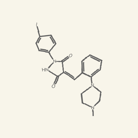 CN1CCN(c2ccccc2C=C2C(=O)NN(c3ccc(I)cc3)C2=O)CC1